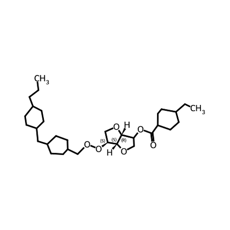 CCCC1CCC(CC2CCC(COO[C@H]3CO[C@@H]4C(OC(=O)C5CCC(CC)CC5)CO[C@H]34)CC2)CC1